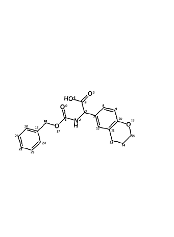 O=C(NC(C(=O)O)c1ccc2c(c1)CCCO2)OCc1ccccc1